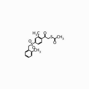 CC(=O)SCC(=O)c1ccc(S(=O)(=O)Cc2ccccc2C)cc1C